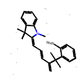 C=C(/C=C/C=C1\N(C)c2ccccc2C1(C)C)C(C)(C)c1ccccc1NC